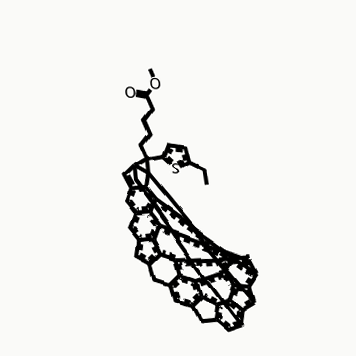 CCc1ccc(C2(CCCCC(=O)OC)C34C=c5cc6cc7cc8c9c7c7c6c6c5C32c2c3c(cc5c%10c%11c(cc(c%12c%11c%11c(c2c6c7c%11c9%12)c3%10)C8)C5)C4)s1